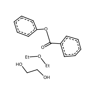 CCOCC.O=C(Oc1ccccc1)c1ccccc1.OCCO